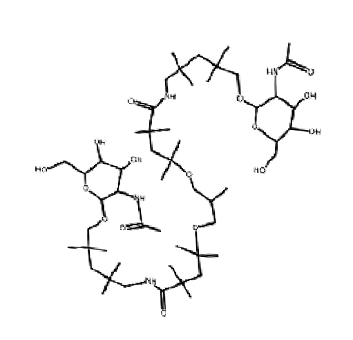 CC(=O)NC1C(OCC(C)(C)CC(C)(C)CNC(=O)C(C)(C)CC(C)(C)OCC(C)COC(C)(C)CC(C)(C)C(=O)NCC(C)(C)CC(C)(C)COC2OC(CO)C(O)C(O)C2NC(C)=O)OC(CO)C(O)C1O